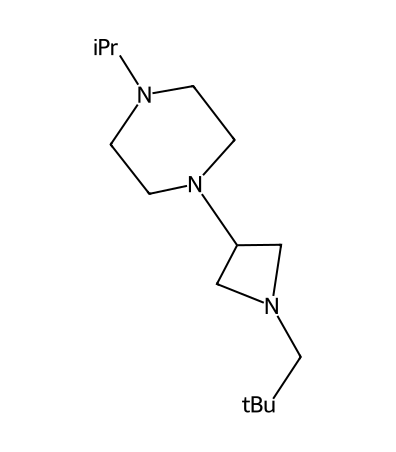 CC(C)N1CCN(C2CN(CC(C)(C)C)C2)CC1